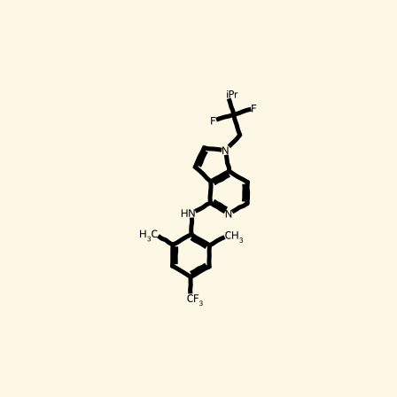 Cc1cc(C(F)(F)F)cc(C)c1Nc1nccc2c1ccn2CC(F)(F)C(C)C